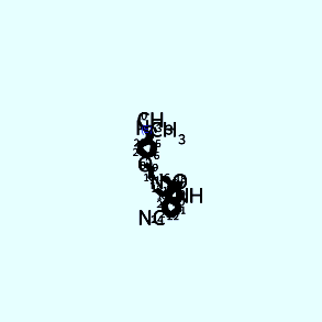 C/N=S(\C)c1ccc(OCCN2CCC3(CC2)C(=O)Nc2ccc(C#N)cc23)cc1